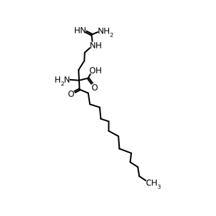 CCCCCCCCCCCCCC(=O)C(N)(CCCNC(=N)N)C(=O)O